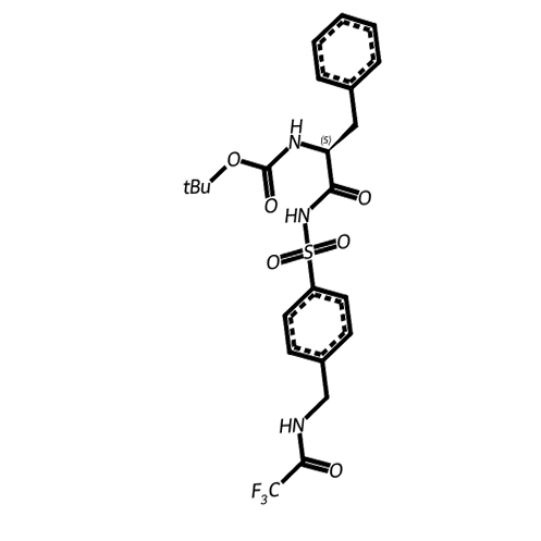 CC(C)(C)OC(=O)N[C@@H](Cc1ccccc1)C(=O)NS(=O)(=O)c1ccc(CNC(=O)C(F)(F)F)cc1